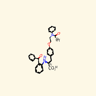 CC(C)C(=O)N(CCOc1ccc(C[C@H](Nc2ccccc2C(=O)c2ccccc2)C(=O)O)cc1)c1ccccc1